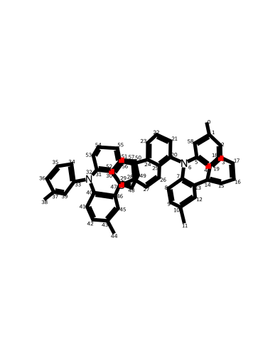 Cc1cccc(N(c2ccc(C)cc2-c2ccccc2)c2cccc3c2ccc2oc4c(N(c5cccc(C)c5)c5ccc(C)cc5-c5ccccc5)cccc4c23)c1